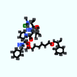 C[C@H](COCCCCCCOC[C@@H](NC(=O)[C@@H]1CCCN1C(=O)[C@@H](NC(=O)[C@H](C)N(C)Cl)C(C)(C)C)C1CCCCC1)C1CCCCC1